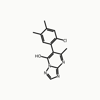 Cc1cc(Cl)c(-c2c(C)nc3ncnn3c2O)cc1C